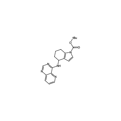 CC(C)(C)OC(=O)n1ccc2c1CCCC2Nc1ncnc2cccnc12